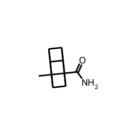 CC12C3C4C5C3C1(C(N)=O)C5C42